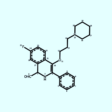 O=CC1NC(c2ccccc2)=C(OCCCN2CCCCC2)c2ccc(F)cc21